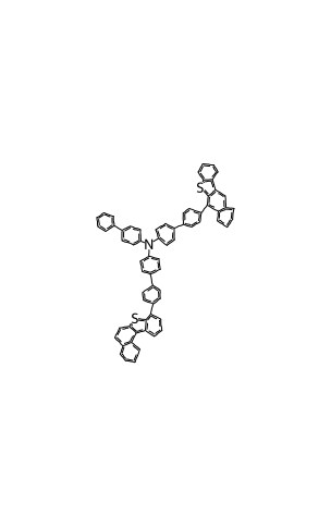 c1ccc(-c2ccc(N(c3ccc(-c4ccc(-c5c6ccccc6cc6c5sc5ccccc56)cc4)cc3)c3ccc(-c4ccc(-c5cccc6c5sc5ccc7ccccc7c56)cc4)cc3)cc2)cc1